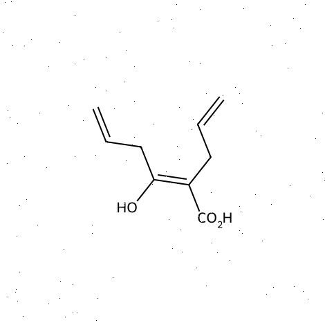 C=CCC(O)=C(CC=C)C(=O)O